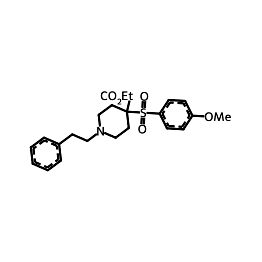 CCOC(=O)C1(S(=O)(=O)c2ccc(OC)cc2)CCN(CCc2ccccc2)CC1